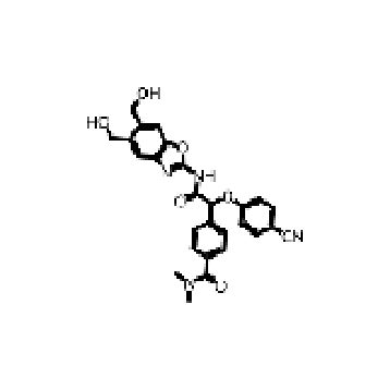 CN(C)C(=O)c1ccc(C(Oc2ccc(C#N)cc2)C(=O)Nc2nc3cc(CO)c(CO)cc3o2)cc1